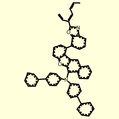 C=C/C(=C\C=C/C)c1nc2cccc(-c3cccc4oc5c(N(c6ccc(-c7ccccc7)cc6)c6ccc(-c7ccccc7)cc6)c6ccccc6cc5c34)c2o1